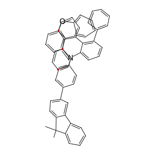 CC1(C)c2ccccc2-c2cc(-c3ccc(N(c4cccc(-c5ccccc5)c4-c4ccccc4-c4ccccc4)c4cccc5oc6ccccc6c45)cc3)ccc21